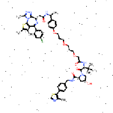 Cc1ncsc1-c1ccc(CNC(=O)[C@@H]2C[C@@H](O)CN2C(=O)[C@@H](NC(=O)COCCCOCCCOc2ccc(C(C)NC(=O)C[C@@H]3N=C(c4ccc(Cl)cc4)c4c(sc(C)c4C)-n4c(C)nnc43)cc2)C(C)(C)C)cc1